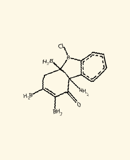 BC1=C(B)C(=O)C2(N)c3ccccc3B(Cl)C2(B)C1